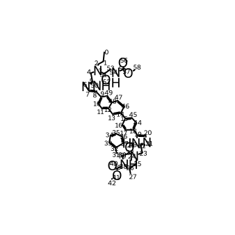 CCCN(Cc1ncc(-c2ccc3cc(-c4ccc(-c5cnc(CN(CCC)C(=O)[C@@H](Cc6ccccc6)NC(=O)OC)[nH]5)cc4)ccc3c2)[nH]1)C(=O)CNC(=O)OC